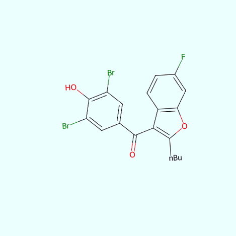 CCCCc1oc2cc(F)ccc2c1C(=O)c1cc(Br)c(O)c(Br)c1